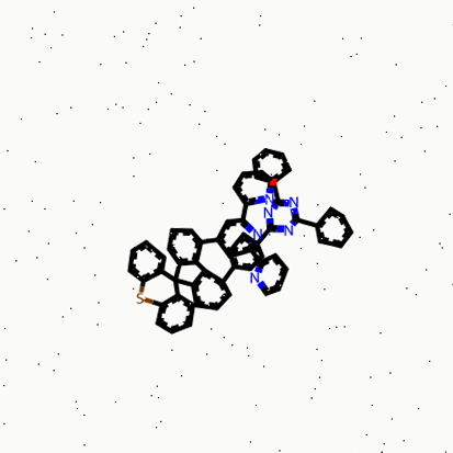 c1ccc(-c2nc(-c3ccccc3)nc(-c3ccc(-c4cccc5c4-c4c(-c6cc(-c7ccccn7)nc(-c7ccccn7)c6)cccc4C54c5ccccc5Sc5ccccc54)cc3)n2)cc1